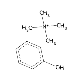 C[N+](C)(C)C.Oc1ccccc1